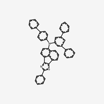 c1ccc(-c2ccc(N(c3cc(-c4ccccc4)cc(-c4ccccc4)c3)c3ccc4c5c(cccc35)-c3sc(-c5ccccc5)nc3-4)cc2)cc1